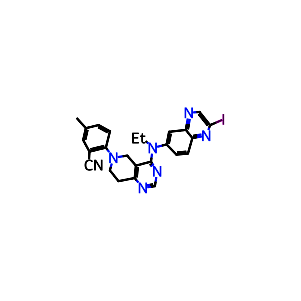 CCN(c1ccc2nc(I)cnc2c1)c1ncnc2c1CN(c1ccc(C)cc1C#N)CC2